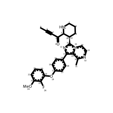 CC#CC(=O)C1NCCC[C@H]1c1nc(-c2ccc(Oc3cccc(OC)c3F)cc2)c2c(C)nccn12